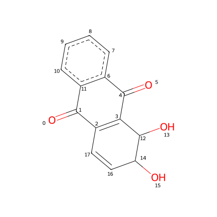 O=C1C2=C(C(=O)c3ccccc31)C(O)C(O)C=C2